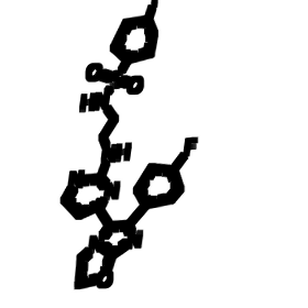 O=S(=O)(NCCNc1nccc(-c2c(-c3ccc(F)cc3)nc3occn23)n1)c1ccc(I)cc1